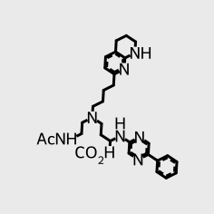 CC(=O)NCCN(CCCCc1ccc2c(n1)NCCC2)CCC(Nc1cnc(-c2ccccc2)cn1)C(=O)O